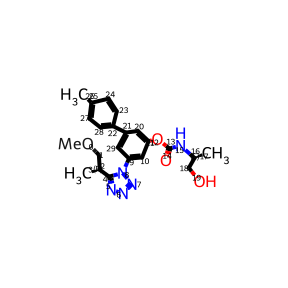 COC[C@H](C)c1nnnn1-c1cc(OC(=O)N[C@@H](C)CO)cc(-c2ccc(C)cc2)c1